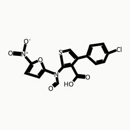 O=CN(c1ccc([N+](=O)[O-])o1)c1scc(-c2ccc(Cl)cc2)c1C(=O)O